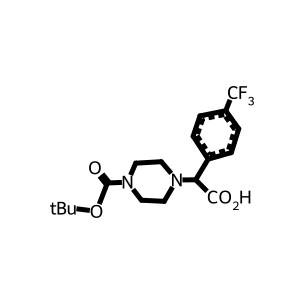 CC(C)(C)OC(=O)N1CCN(C(C(=O)O)c2ccc(C(F)(F)F)cc2)CC1